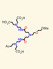 COCCOCCN(CCC(=O)NCCN(CCC(C)=O)CCC(=O)O)CCC(=O)NCCN(CCC(=O)O)CCC(=O)O